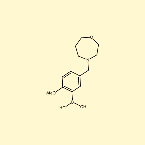 COc1ccc(CN2CCCOCC2)cc1B(O)O